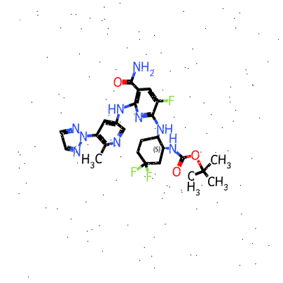 Cc1ncc(Nc2nc(NC3CCC(F)(F)C[C@@H]3NC(=O)OC(C)(C)C)c(F)cc2C(N)=O)cc1-n1nccn1